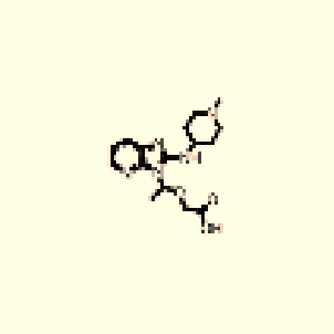 CC(OCC(=O)O)n1c(NC2CCN(C)CC2)nc2cccnc21